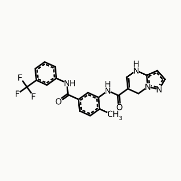 Cc1ccc(C(=O)Nc2cccc(C(F)(F)F)c2)cc1NC(=O)C1=CNc2ccnn2C1